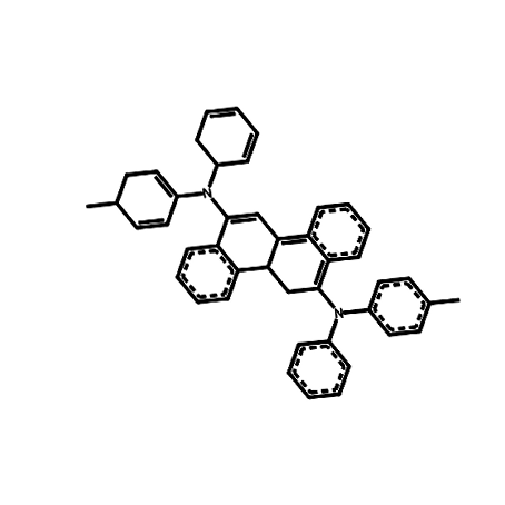 Cc1ccc(N(C2=c3ccccc3=C3C=C(N(C4=CCC(C)C=C4)C4C=CC=CC4)c4ccccc4C3C2)c2ccccc2)cc1